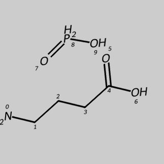 NCCCC(=O)O.O=[PH2]O